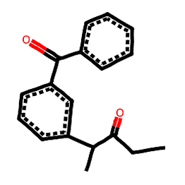 CCC(=O)C(C)c1cccc(C(=O)c2ccccc2)c1